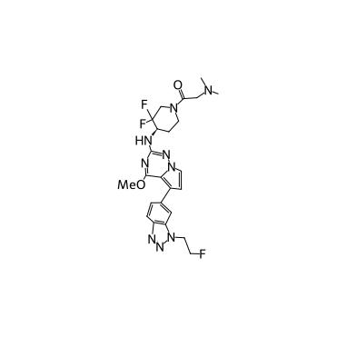 COc1nc(N[C@@H]2CCN(C(=O)CN(C)C)CC2(F)F)nn2ccc(-c3ccc4nnn(CCF)c4c3)c12